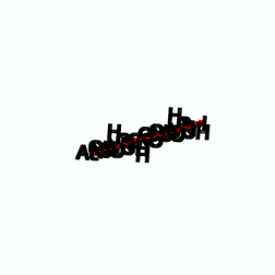 CC(=O)N(O)CCOCCNC(=O)CCC(=O)N(O)CCOCCNC(=O)CCC(=O)N(O)CCOCCNC(=O)CCC(=O)N(O)CCCCCI